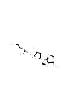 N#CCCNP(O)OC[C@H]1O[C@@H](n2cnc3c(N)ncnc32)C[C@@H]1O